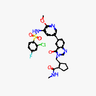 CNC(=O)C1CCCC1Cn1cnc2ccc(-c3cnc(OC)c(NS(=O)(=O)c4ccc(F)cc4Cl)c3)cc2c1=O